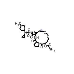 CN1CCC(N(C2CC2)S(=O)(=O)NC(=O)C23CC2/C=C\CCCCCC(OC(N)=O)C(=O)N2CCCC2C(=O)N3)CC1